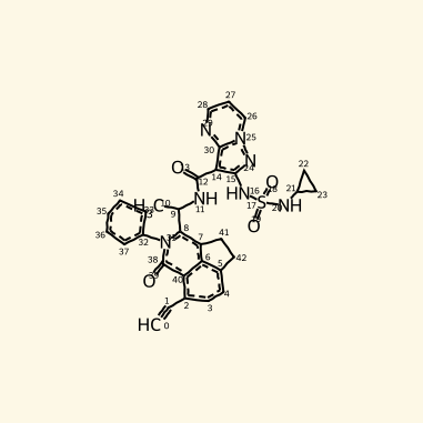 C#Cc1ccc2c3c(c(C(C)NC(=O)c4c(NS(=O)(=O)NC5CC5)nn5cccnc45)n(-c4ccccc4)c(=O)c13)CC2